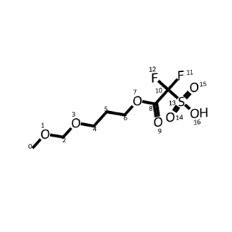 COCOCCCOC(=O)C(F)(F)S(=O)(=O)O